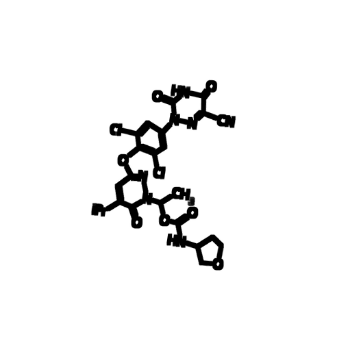 CC(C)c1cc(Oc2c(Cl)cc(-n3nc(C#N)c(=O)[nH]c3=O)cc2Cl)nn(C(C)OC(=O)NC2CCOC2)c1=O